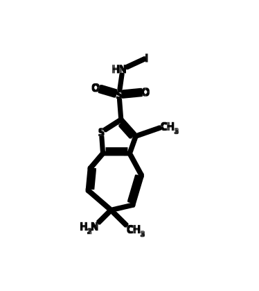 Cc1c(S(=O)(=O)NI)sc2c1C=CC(C)(N)C=C2